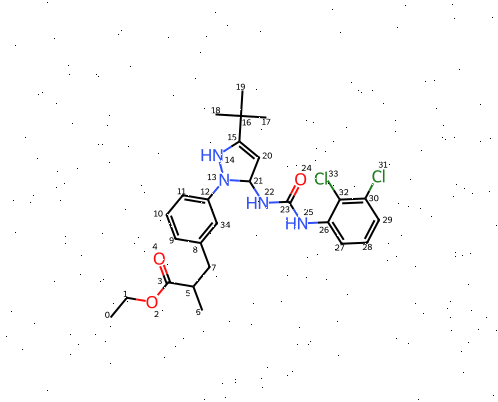 CCOC(=O)C(C)Cc1cccc(N2NC(C(C)(C)C)=CC2NC(=O)Nc2cccc(Cl)c2Cl)c1